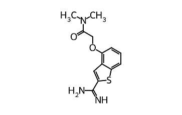 CN(C)C(=O)COc1cccc2sc(C(=N)N)cc12